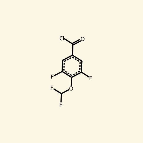 O=C(Cl)c1cc(F)c(OC(F)F)c(F)c1